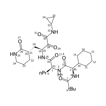 CCC[C@H](NC(=O)[C@H](NC(=O)C(C)(C)C)C1CCCCC1)C(=O)N[C@@H](C[C@@H]1CCCNC1=O)C(=O)C(=O)NC1CC1